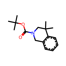 CC(C)(C)OC(=O)N1Cc2ccccc2C(C)(C)C1